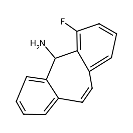 NC1c2ccccc2C=Cc2cccc(F)c21